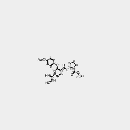 COc1ccc(Oc2nc(C(=N)NO)ncc2NC[C@@H]2CCCN2C(=O)OC(C)(C)C)cc1